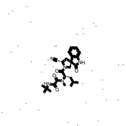 CC(C)C[C@@H](C(=O)N1C[C@]2(C[C@H]1C#N)C(=O)Nc1ccccc12)N(C)C(=O)C(=O)NC(C)(C)C